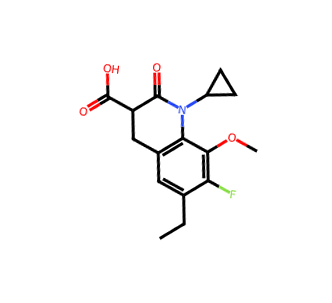 CCc1cc2c(c(OC)c1F)N(C1CC1)C(=O)C(C(=O)O)C2